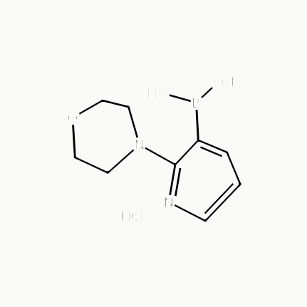 Cl.OB(O)c1cccnc1N1CCOCC1